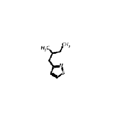 CCC(C)Cc1ccsn1